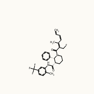 C=C/C=C\C(C)=C(/CF)C(=O)N1CCC[C@H](C(=O)Nc2cc(C(F)(F)F)ccc2C)[C@@H]1c1ccccc1